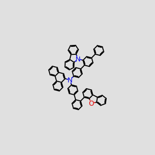 c1ccc(-c2ccc(-c3ccc(N(c4ccc(-c5ccccc5-c5cccc6c5oc5ccccc56)cc4)c4cc5ccccc5c5ccccc45)cc3)c(-n3c4ccccc4c4ccccc43)c2)cc1